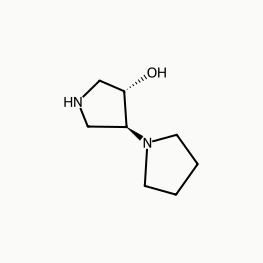 O[C@H]1CNC[C@@H]1N1CCCC1